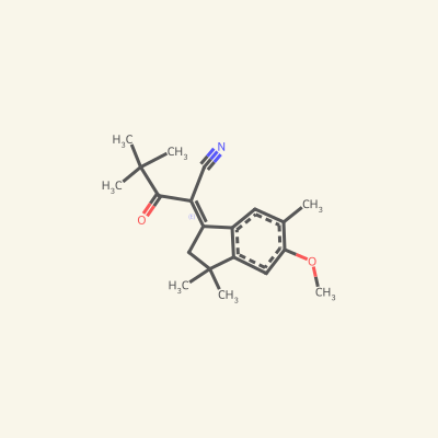 COc1cc2c(cc1C)/C(=C(\C#N)C(=O)C(C)(C)C)CC2(C)C